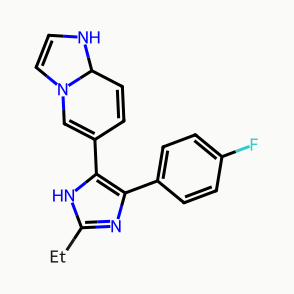 CCc1nc(-c2ccc(F)cc2)c(C2=CN3C=CNC3C=C2)[nH]1